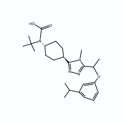 CC(C)c1cccc(OC(C)c2nnc([C@H]3CC[C@H](N(C(=O)O)C(C)(C)C)CC3)n2C)c1